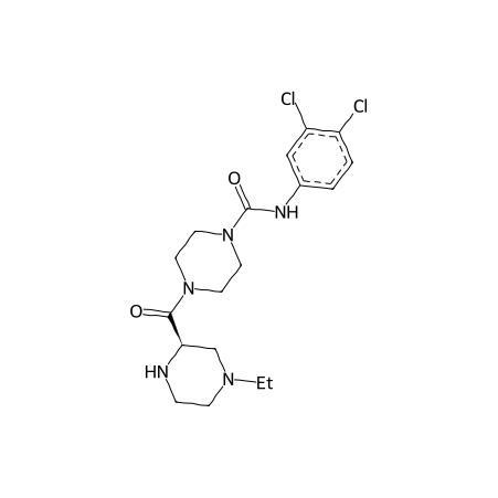 CCN1CCN[C@@H](C(=O)N2CCN(C(=O)Nc3ccc(Cl)c(Cl)c3)CC2)C1